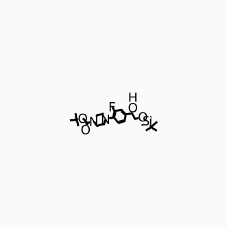 CC(C)(C)OC(=O)N1CCN(c2ccc(C(O)CO[Si](C)(C)C(C)(C)C)cc2F)CC1